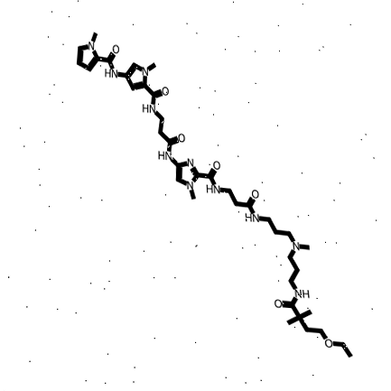 CCOCCC(C)(C)C(=O)NCCCN(C)CCCNC(=O)CCNC(=O)c1nc(NC(=O)CCNC(=O)c2cc(NC(=O)c3cccn3C)cn2C)cn1C